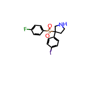 O=S(=O)(c1ccc(F)cc1)C1(c2ccc(I)cc2)CCNC1